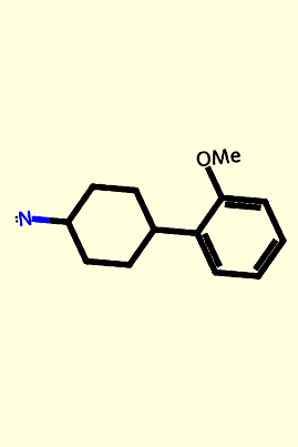 COc1ccccc1C1CCC([N])CC1